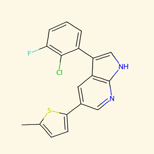 Cc1ccc(-c2cnc3[nH]cc(-c4cccc(F)c4Cl)c3c2)s1